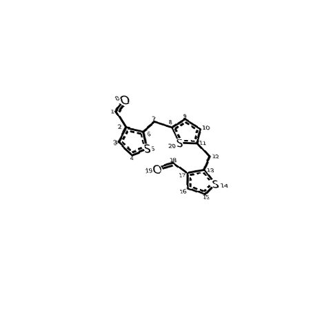 O=Cc1ccsc1Cc1ccc(Cc2sccc2C=O)s1